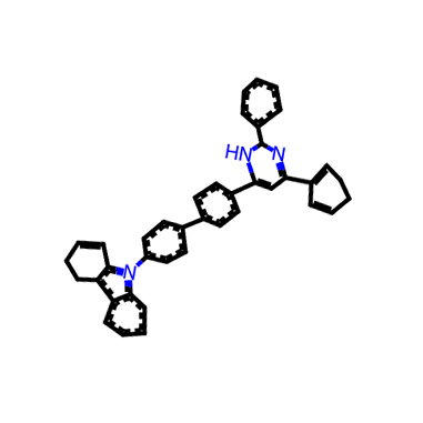 C1=CC(C2=NC(c3ccccc3)NC(c3ccc(-c4ccc(-n5c6c(c7ccccc75)CCC=C6)cc4)cc3)=C2)=CCC1